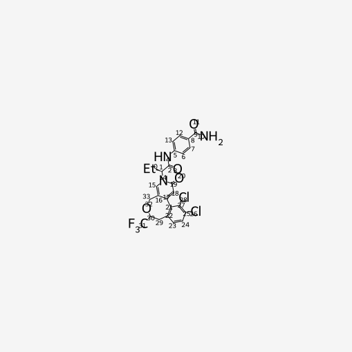 CC[C@@H](C(=O)Nc1ccc(C(N)=O)cc1)n1cc2c(cc1=O)-c1c(ccc(Cl)c1Cl)CC(C(F)(F)F)OC2